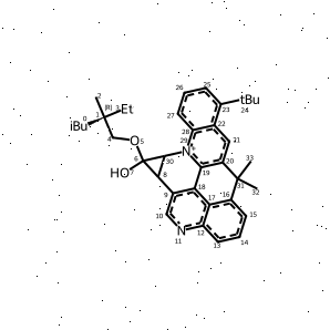 CCC(C)[C@@](C)(CC)COC1(O)C2c3cnc4cccc5c4c3-c3c(cc4c(C(C)(C)C)cccc4[n+]3C21)C5(C)C